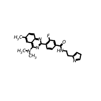 Cc1ccc2nc(-c3ccc(C(=O)NCCC4=CCC=N4)cc3F)nc(N(C)C)c2c1